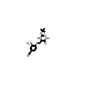 CC(C)(C)OC(=O)NC(CSc1ccc(C#N)cc1N)C(=O)O